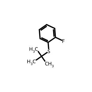 CC(C)(C)Sc1ccccc1F